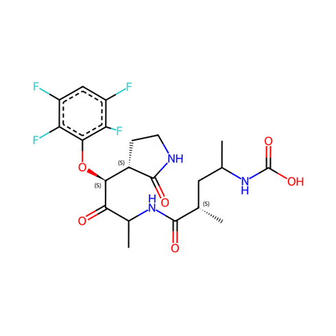 CC(C[C@H](C)C(=O)NC(C)C(=O)[C@@H](Oc1c(F)c(F)cc(F)c1F)[C@@H]1CCNC1=O)NC(=O)O